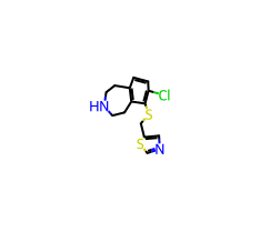 Clc1ccc2c(c1SCc1cncs1)CCNCC2